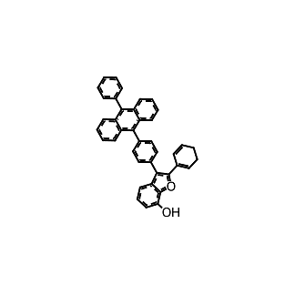 Oc1cccc2c(-c3ccc(-c4c5ccccc5c(-c5ccccc5)c5ccccc45)cc3)c(C3=CCCC=C3)oc12